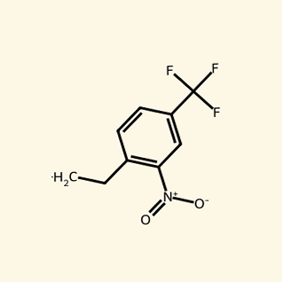 [CH2]Cc1ccc(C(F)(F)F)cc1[N+](=O)[O-]